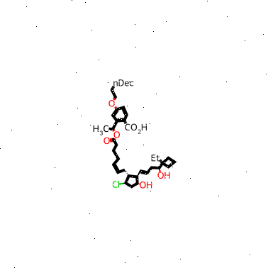 CCCCCCCCCCCCOc1ccc(C(=O)O)c(C(C)OC(=O)CCC/C=C\C[C@@H]2[C@@H](/C=C/C[C@H](O)C3(CC)CCC3)[C@H](O)C[C@H]2Cl)c1